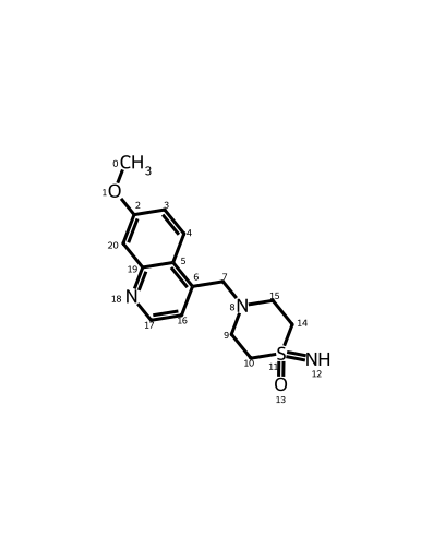 COc1ccc2c(CN3CCS(=N)(=O)CC3)ccnc2c1